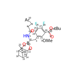 COc1c(CC(NC(=O)CCC(C)=O)B2OC3CC4CC(C4(C)C)C3(C)O2)cc(F)c(F)c1C(=O)OC(C)(C)C